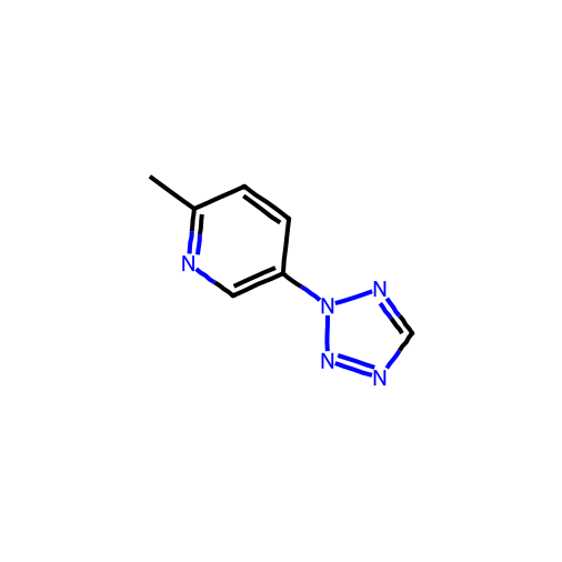 Cc1ccc(-n2ncnn2)cn1